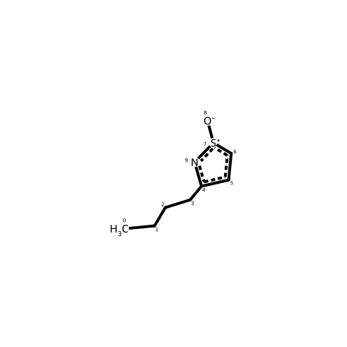 CCCCc1cc[s+]([O-])n1